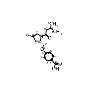 CC(C)CC(=O)N1CC(F)C[C@H]1COc1ccc(C(=O)O)cc1